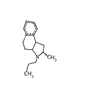 CCCN1C(C)CC2c3ccccc3CCC21